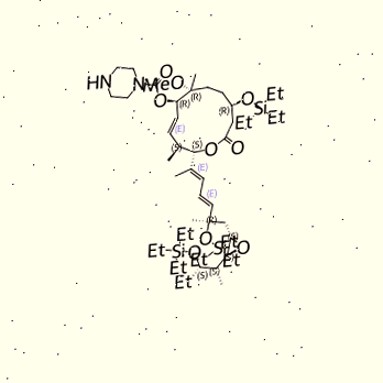 CC[C@H](O[Si](CC)(CC)CC)[C@@H](C)[C@@H]1O[C@H]1C[C@](C)(/C=C/C=C(\C)[C@H]1OC(=O)C[C@H](O[Si](CC)(CC)CC)CC[C@@](C)(OC)[C@H](OC(=O)N2CCNCC2)/C=C/[C@@H]1C)O[Si](CC)(CC)CC